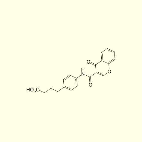 O=C(O)CCCc1ccc(NC(=O)c2coc3ccccc3c2=O)cc1